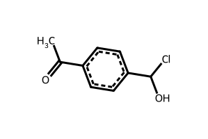 CC(=O)c1ccc(C(O)Cl)cc1